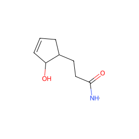 [NH]C(=O)CCC1CC=CC1O